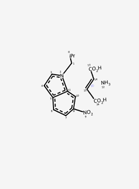 CC(C)Cn1ccc2ccc([N+](=O)[O-])cc21.N.O=C(O)/C=C/C(=O)O